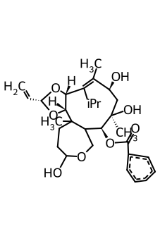 C=C[C@@H]1O[C@@H]2/C(C(C)C)=C(\C)[C@@H](O)C[C@@](C)(O)[C@@H](OC(=O)c3ccccc3)C3COC(O)CCC3(C)[C@@H]2O1